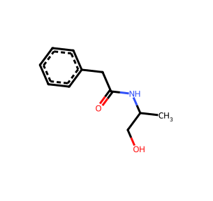 CC(CO)NC(=O)Cc1ccccc1